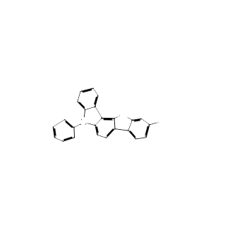 Cc1ccc2c(c1)oc1c2ccc2c1c1ccccc1n2-c1ccccc1